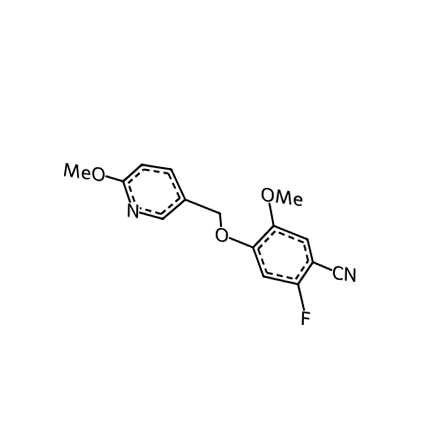 COc1ccc(COc2cc(F)c(C#N)cc2OC)cn1